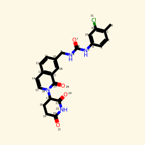 Cc1ccc(NC(=O)NCc2ccc3ccn(C4CCC(=O)NC4=O)c(=O)c3c2)cc1Cl